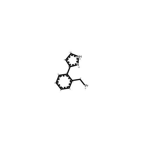 CC(C)Cc1ccccc1-c1c[c][nH]n1